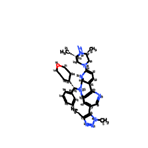 Cc1nnn(C)c1-c1cnc2c3ccc(N4C[C@@H](C)N[C@@H](C)C4)nc3n([C@H](c3ccccc3)C3CCOCC3)c2c1